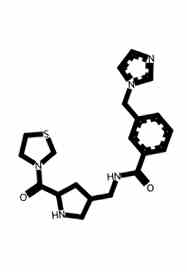 O=C(NCC1CNC(C(=O)N2CCSC2)C1)c1cccc(Cn2ccnc2)c1